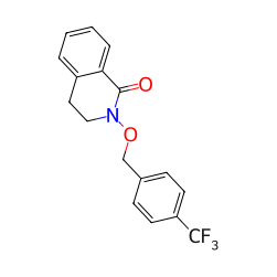 O=C1c2ccccc2CCN1OCc1ccc(C(F)(F)F)cc1